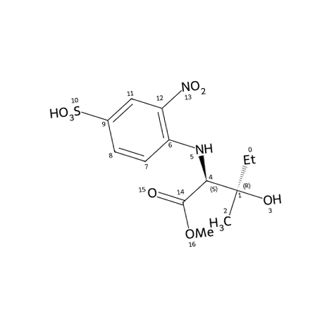 CC[C@@](C)(O)[C@H](Nc1ccc(S(=O)(=O)O)cc1[N+](=O)[O-])C(=O)OC